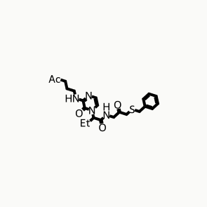 CCC(C(=O)NCC(=O)CSCc1ccccc1)n1ccnc(NCCCC(C)=O)c1=O